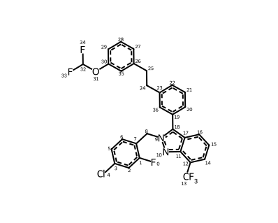 Fc1cc(Cl)ccc1Cn1nc2c(C(F)(F)F)cccc2c1-c1cccc(CCc2cccc(OC(F)F)c2)c1